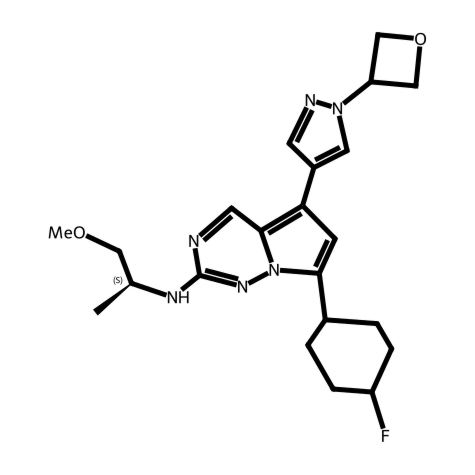 COC[C@H](C)Nc1ncc2c(-c3cnn(C4COC4)c3)cc(C3CCC(F)CC3)n2n1